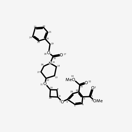 COC(=O)c1ccc(OC2CC(OC3CCN(C(=O)OCc4ccccc4)CC3)C2)cc1C(=O)OC